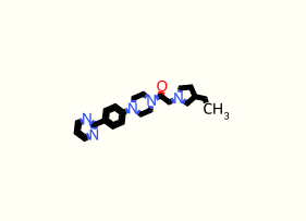 CCC1CCN(CC(=O)N2CCN(c3ccc(-c4ncccn4)cc3)CC2)C1